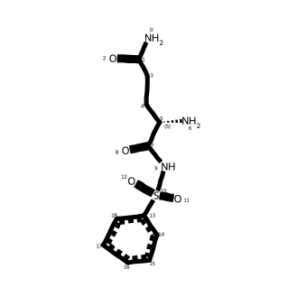 NC(=O)CC[C@H](N)C(=O)NS(=O)(=O)c1ccccc1